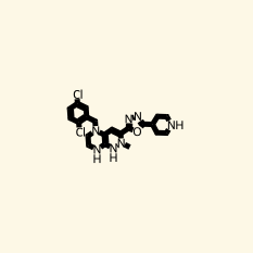 CN1NC2=C(C=C1c1nnc(C3CCNCC3)o1)N(Cc1cc(Cl)ccc1Cl)CCN2